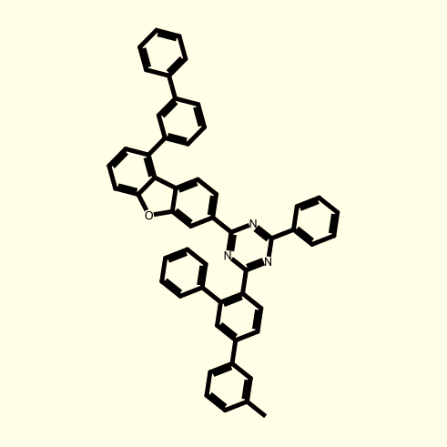 Cc1cccc(-c2ccc(-c3nc(-c4ccccc4)nc(-c4ccc5c(c4)oc4cccc(-c6cccc(-c7ccccc7)c6)c45)n3)c(-c3ccccc3)c2)c1